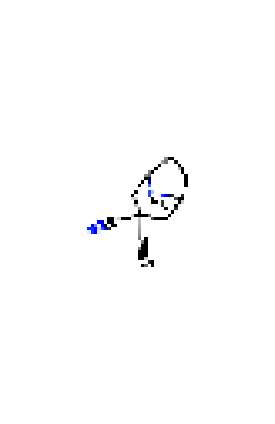 C#CC1(C#N)CC2CCC(C1)N2C